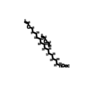 C=COC=C.C=COCCCCCCCCCCCCCCCCCCCCCCCC